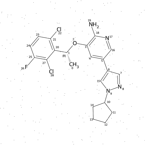 C[C@@H](Oc1cc(-c2cnn(C3CCCC3)c2)cnc1N)c1c(Cl)ccc(F)c1Cl